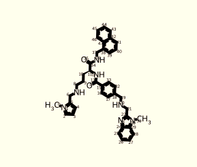 Cn1cccc1CNCCC[C@H](NC(=O)c1ccc(CNCc2nc3ccccc3n2C)cc1)C(=O)NCc1cccc2ccccc12